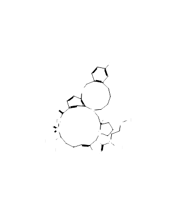 COCCN(C)C(=O)[C@H]1/C(F)=C/C[C@H](C)[C@@H](C)S(=O)(=O)NC(=O)c2ccc3c(c2)N(CCCCc2cc(Cl)ccc2CO3)C[C@@H]2CCCN21